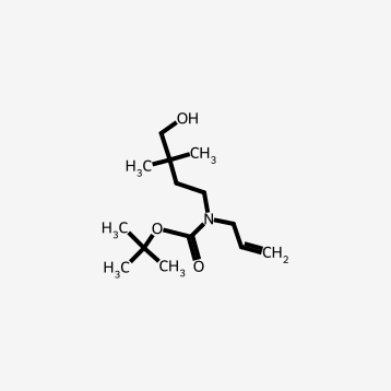 C=CCN(CCC(C)(C)CO)C(=O)OC(C)(C)C